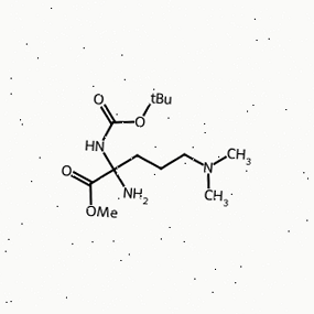 COC(=O)C(N)(CCCN(C)C)NC(=O)OC(C)(C)C